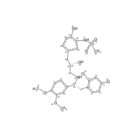 COc1ccc([C@@H](Cc2ccc(Cl)cc2Cl)NC[C@@H](O)Cc2ccc(O)c(NS(C)(=O)=O)c2)cc1OC